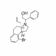 C=CC[C@@]12CCc3cccc(Br)c3[C@@H]1CCN2C(CO)c1ccccc1